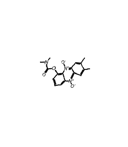 Cc1cc2c(cc1C)[n+]([O-])c1c(OC(=O)N(C)C)cccc1[n+]2[O-]